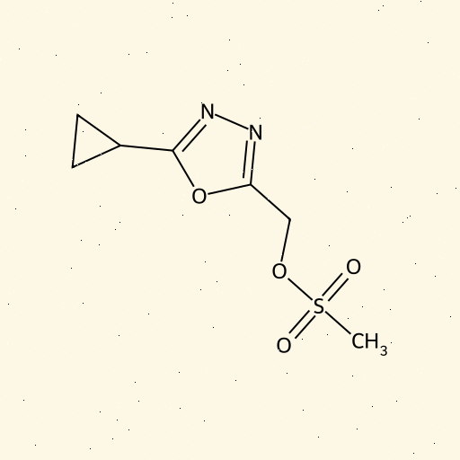 CS(=O)(=O)OCc1nnc(C2CC2)o1